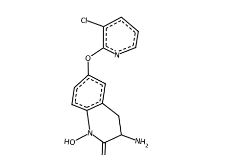 NC1Cc2cc(Oc3ncccc3Cl)ccc2N(O)C1=O